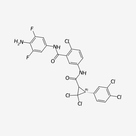 Nc1c(F)cc(NC(=O)c2cc(NC(=O)C3[C@H](c4ccc(Cl)c(Cl)c4)C3(Cl)Cl)ccc2Cl)cc1F